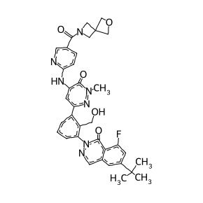 Cn1nc(-c2cccc(-n3ncc4cc(C(C)(C)C)cc(F)c4c3=O)c2CO)cc(Nc2ccc(C(=O)N3CC4(COC4)C3)cn2)c1=O